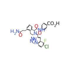 NC(=O)CCc1cccc2c1CCN(C(=O)/C=C/c1c(-n3cnnn3)ccc(Cl)c1F)C2C(=O)Nc1ccc(C(=O)O)cc1